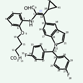 O=C/C(Nc1ccccc1OCCCC(=O)O)=C(/c1ccc2c(ccn2C(c2ccc(F)cc2)c2ccc(F)cc2)c1)C1CC1